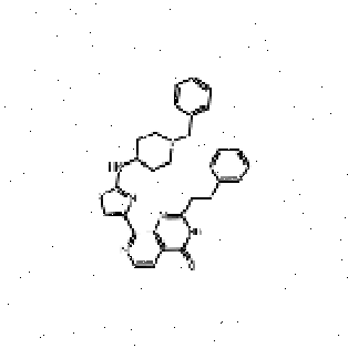 O=c1[nH]c(CCc2ccccc2)nc2c(-c3csc(NC4CCN(Cc5ccccc5)CC4)n3)nccc12